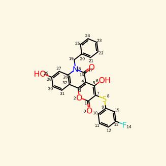 O=c1oc2c(c(O)c1Sc1cccc(F)c1)c(=O)n(Cc1ccccc1)c1cc(O)ccc21